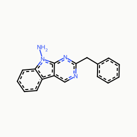 Nn1c2ccccc2c2cnc(Cc3ccccc3)nc21